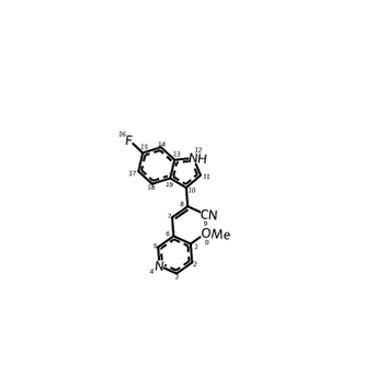 COc1ccncc1C=C(C#N)c1c[nH]c2cc(F)ccc12